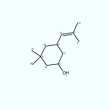 CC(C)=CC1CC(O)CC(C)(C)C1